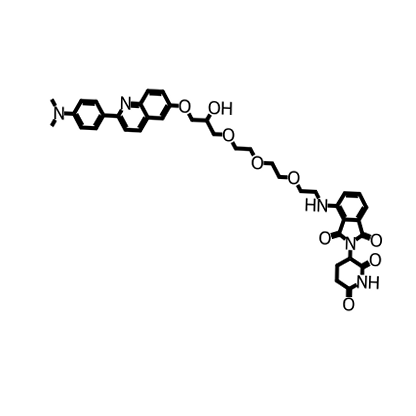 CN(C)c1ccc(-c2ccc3cc(OCC(O)COCCOCCOCCNc4cccc5c4C(=O)N(C4CCC(=O)NC4=O)C5=O)ccc3n2)cc1